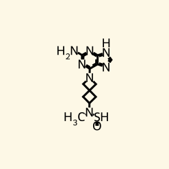 CN([SH]=O)C1CC2(C1)CN(c1nc(N)nc3[nH]cnc13)C2